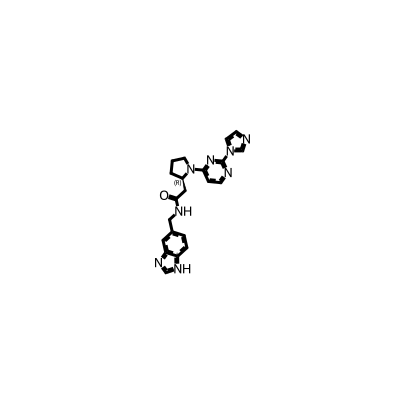 O=C(C[C@H]1CCCN1c1ccnc(-n2ccnc2)n1)NCc1ccc2[nH]cnc2c1